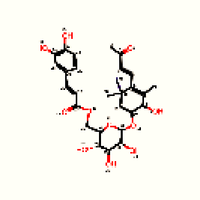 CC(=O)/C=C/C1=C(C)C(O)C(O[C@@H]2OC(COC(=O)/C=C/c3ccc(O)c(O)c3)[C@@H](O)C(O)[C@@H]2O)C[C@]1(C)I